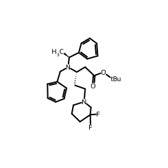 C[C@@H](c1ccccc1)N(Cc1ccccc1)[C@@H](CCN1CCCC(F)(F)C1)CC(=O)OC(C)(C)C